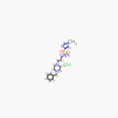 Cl.Cn1cnc(S(=O)(=O)NCCCN2CCN(Cc3ccccc3)CC2)c1